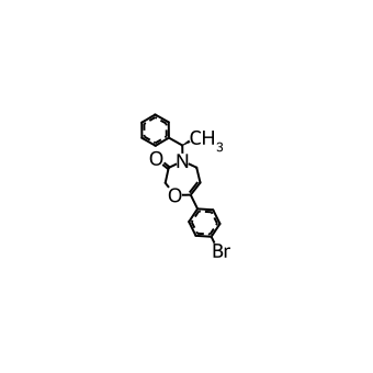 C[C@H](c1ccccc1)N1CC=C(c2ccc(Br)cc2)OCC1=O